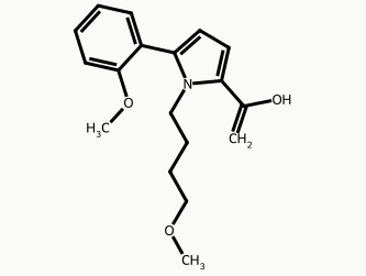 C=C(O)c1ccc(-c2ccccc2OC)n1CCCCOC